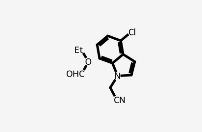 CCOC=O.N#CCn1ccc2c(Cl)cccc21